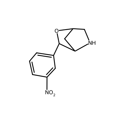 O=[N+]([O-])c1cccc(C2OC3CNC2C3)c1